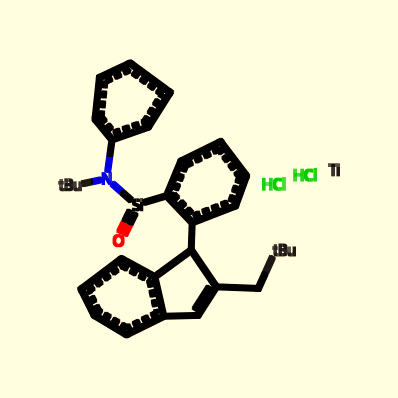 CC(C)(C)CC1=Cc2ccccc2C1c1ccccc1[Si](=O)N(c1ccccc1)C(C)(C)C.Cl.Cl.[Ti]